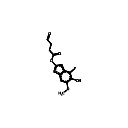 COc1cc2sc(OC(=O)CCC=O)cc2c(F)c1O